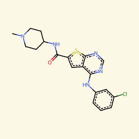 CN1CCC(NC(=O)c2cc3c(Nc4cccc(Cl)c4)ncnc3s2)CC1